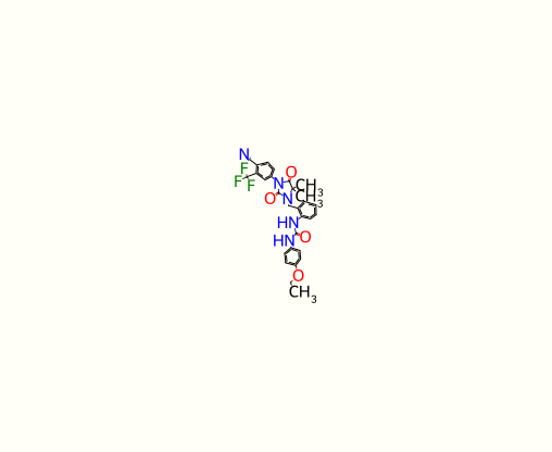 CCOc1ccc(NC(=O)Nc2ccccc2CN2C(=O)N(c3ccc(C#N)c(C(F)(F)F)c3)C(=O)C2(C)C)cc1